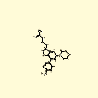 Nc1ncc(-c2nc(N3CCOCC3)nc3c2CCN3CCCC(=O)O)cn1